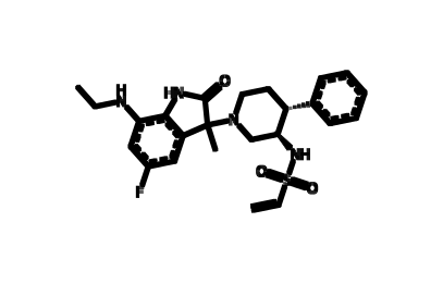 C=CS(=O)(=O)N[C@H]1CN(C2(C)C(=O)Nc3c(NCC)cc(F)cc32)CC[C@@H]1c1ccccc1